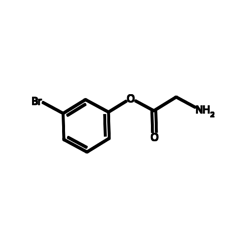 NCC(=O)Oc1cccc(Br)c1